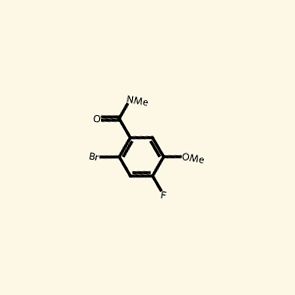 CNC(=O)c1cc(OC)c(F)cc1Br